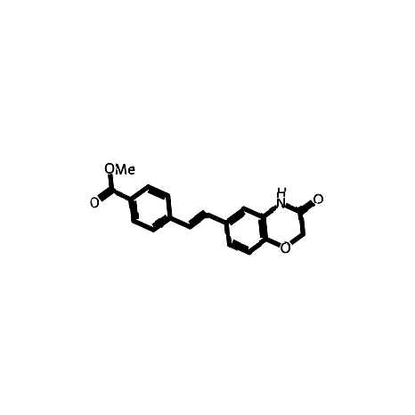 COC(=O)c1ccc(/C=C/c2ccc3c(c2)NC(=O)CO3)cc1